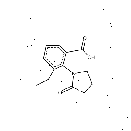 CCc1cccc(C(=O)O)c1N1CCCC1=O